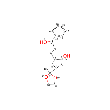 OC(CCC1C(O)CC2C1CC21OCCO1)c1ccccc1